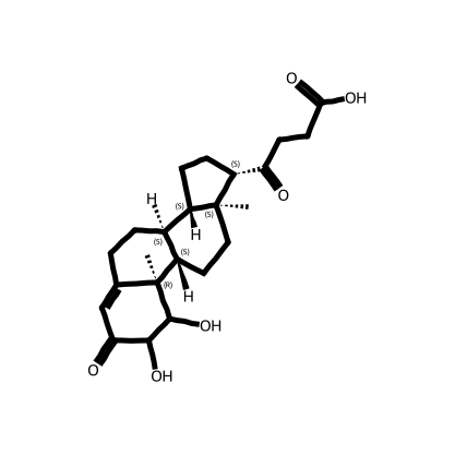 C[C@]12CC[C@H]3[C@@H](CCC4=CC(=O)C(O)C(O)[C@@]43C)[C@@H]1CC[C@@H]2C(=O)CCC(=O)O